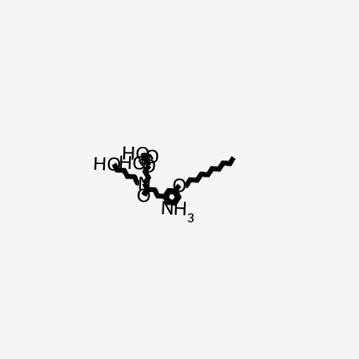 CCCCCCCCCCOc1cccc(CCC(=O)N(CCCCCO)CCOP(=O)(O)O)c1.N